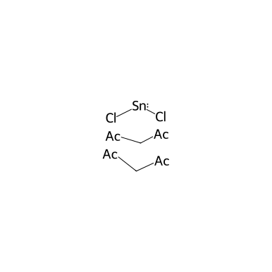 CC(=O)CC(C)=O.CC(=O)CC(C)=O.[Cl][Sn][Cl]